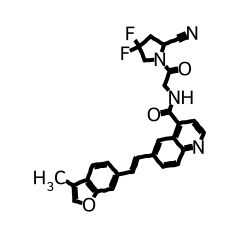 Cc1coc2cc(/C=C/c3ccc4nccc(C(=O)NCC(=O)N5CC(F)(F)CC5C#N)c4c3)ccc12